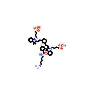 CC1(C)C(/C=C/C2=C(Sc3ccc(C(=O)NCCCCCN)cc3)C(=C/C=C3/N(CCCCS(=O)(=O)O)c4ccccc4C3(C)C)/CCC2)=[N+](CCCCS(=O)(=O)O)c2ccccc21